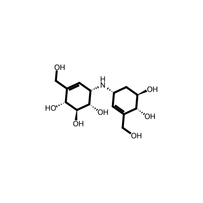 OCC1=C[C@H](N[C@H]2C=C(CO)[C@@H](O)[C@H](O)C2)[C@H](O)[C@@H](O)[C@@H]1O